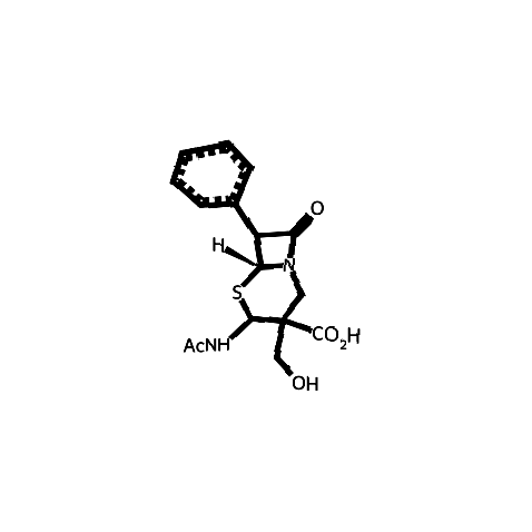 CC(=O)NC1S[C@@H]2C(c3ccccc3)C(=O)N2CC1(CO)C(=O)O